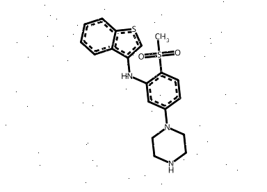 CS(=O)(=O)c1ccc(N2CCNCC2)cc1Nc1csc2ccccc12